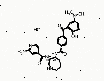 CN(C)c1ccc(O)c(C(=O)c2ccc(C(=O)N[C@@H]3CCCNC[C@H]3NC(=O)c3ccnc(N)c3)cc2)c1.Cl